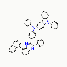 C1=Cc2c(c3cc(N(c4ccccc4)c4ccc(-c5nc6c(-c7cccc8ccccc78)cccc6nc5-c5ccccc5)cc4)ccc3n2-c2ccccc2)CC1